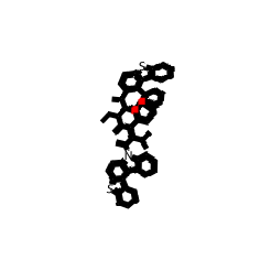 C=C(/C(=C(\C(=C)n1c2ccccc2c2c3c(ccc21)sc1ccccc13)C(C)C)c1ccccc1C)C(CC)C1Cc2ccccc2-c2c(ccc3sc4ccccc4c23)C1C